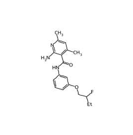 CCC(F)COc1cccc(NC(=O)c2c(C)cc(C)nc2N)c1